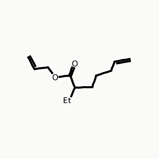 C=CCCCC(CC)C(=O)OCC=C